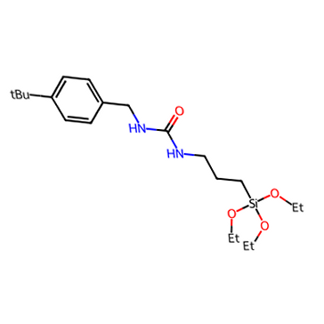 CCO[Si](CCCNC(=O)NCc1ccc(C(C)(C)C)cc1)(OCC)OCC